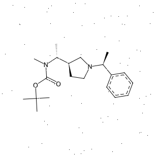 C[C@H]([C@@H]1CCN([C@@H](C)c2ccccc2)C1)N(C)C(=O)OC(C)(C)C